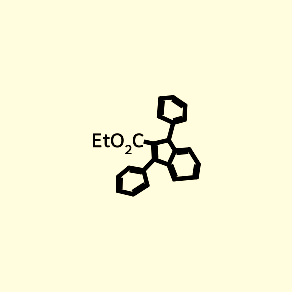 CCOC(=O)C1=C(c2ccccc2)c2ccccc2C1c1ccccc1